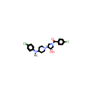 CC(=O)N(c1ccc(Cl)cc1)C1CCN([C@H]2CN(C(=O)c3ccc(Cl)cc3)C[C@@H]2O)CC1